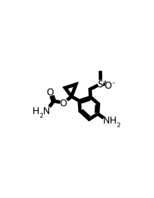 C[S+]([O-])Cc1cc(N)ccc1C1(OC(N)=O)CC1